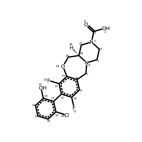 O=C(O)N1CCN2Cc3cc(F)c(-c4c(O)cccc4Cl)c(F)c3OC[C@H]2C1